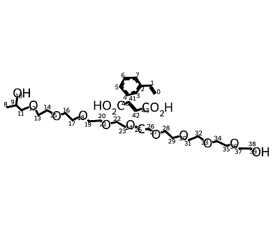 C=Cc1ccccc1.CC(O)COCCOCCOCCOCCOCCOCCOCCOCCOCCO.O=C(O)C=CC(=O)O